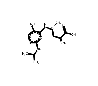 CC(C)Nc1ncc(N)c(N[C@H](C)CC(C)C(=O)O)n1